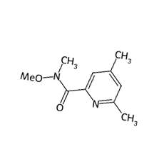 CON(C)C(=O)c1cc(C)cc(C)n1